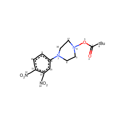 CC(C)(C)C(=O)ON1CCN(c2ccc([N+](=O)[O-])c([N+](=O)[O-])c2)CC1